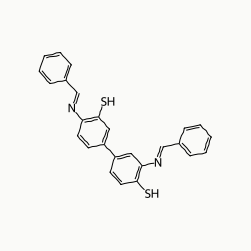 Sc1cc(-c2ccc(S)c(N=Cc3ccccc3)c2)ccc1N=Cc1ccccc1